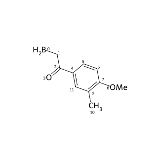 BCC(=O)c1ccc(OC)c(C)c1